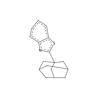 c1ccc2sc(C34CC5CC(CC(C5)C3)C4)nc2c1